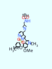 COc1cc2c(-c3cc4c(CN5CC(CNC(=O)OC(C)(C)C)C5)ccnc4n3S(=O)(=O)c3ccc(C)cc3)cn(C)c2cc1OC